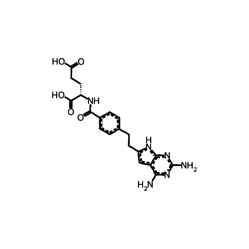 Nc1nc(N)c2cc(CCc3ccc(C(=O)N[C@@H](CCC(=O)O)C(=O)O)cc3)[nH]c2n1